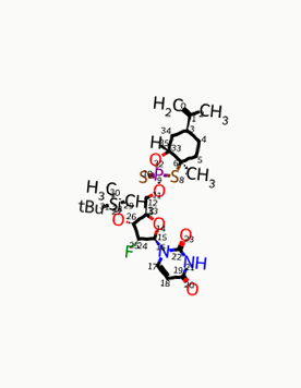 C=C(C)[C@H]1CC[C@@]2(C)S[P@](=S)(OC[C@H]3O[C@@H](n4ccc(=O)[nH]c4=O)[C@H](F)[C@@H]3O[Si](C)(C)C(C)(C)C)O[C@@H]2C1